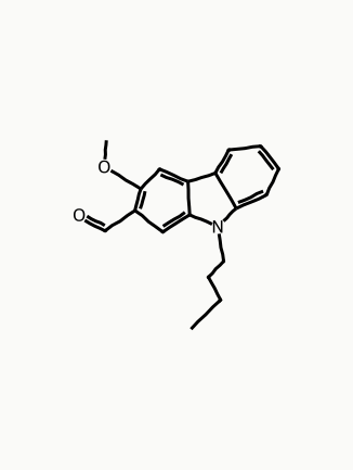 CCCCn1c2ccccc2c2cc(OC)c(C=O)cc21